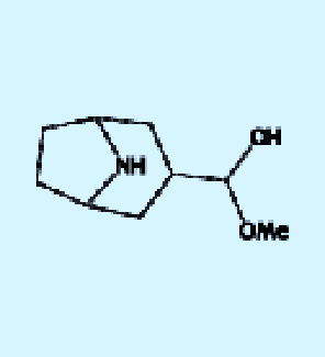 COC(O)C1CC2CCC(C1)N2